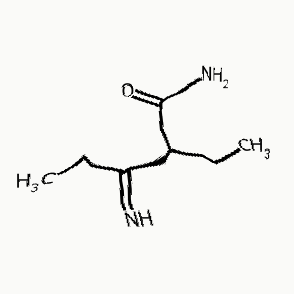 CCC(=N)C(CC)C(N)=O